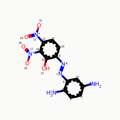 Nc1ccc(N)c(N=Nc2ccc([N+](=O)[O-])c([N+](=O)[O-])c2O)c1